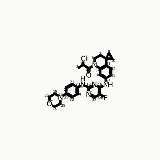 CC(Cl)C(=O)N1CCC2(CC2)c2ccc(Nc3nc(Nc4ccc(N5CCOCC5)cc4)ncc3F)cc21